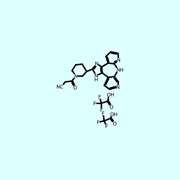 N#CCC(=O)N1CCCC(c2nc3c([nH]2)-c2ccncc2Nc2ncccc2-3)C1.O=C(O)C(F)(F)F.O=C(O)C(F)(F)F